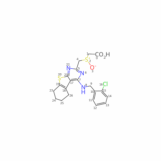 O=C(O)C[S+]([O-])Cc1nc(NCc2ccccc2Cl)c2c3c(sc2n1)CCCC3